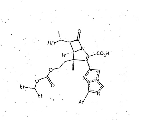 CCC(CC)OC(=O)OCC[C@@]1(C)C(c2cn3cnc(C(C)=O)c3s2)=C(C(=O)O)N2C(=O)[C@H]([C@@H](C)O)[C@@H]21